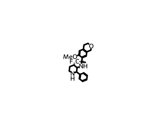 COc1cc2c(cc1[C@@](C)(NC1CCCNC1c1ccccc1)C(F)(F)F)COCC2